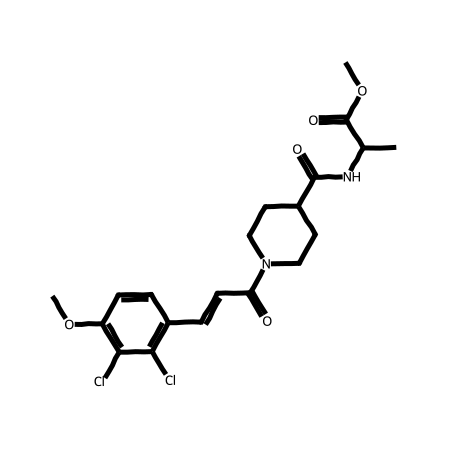 COC(=O)C(C)NC(=O)C1CCN(C(=O)C=Cc2ccc(OC)c(Cl)c2Cl)CC1